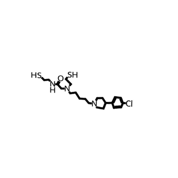 O=C(CN(CCS)CCCCCN1CCC(c2ccc(Cl)cc2)CC1)NCCS